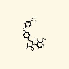 CCc1ncnc(N(CCc2ccc(Oc3ccc(C(F)(F)F)cn3)cc2)C(=O)N(C)C)c1Cl